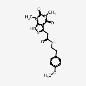 COc1ccc(CCNC(=O)Cc2n[nH]c3c2c(=O)n(C)c(=O)n3C)cc1